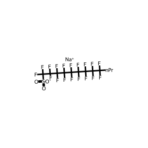 CCCC(F)(F)C(F)(F)C(F)(F)C(F)(F)C(F)(F)C(F)(F)C(F)(F)C(F)(F)C(F)(F)S(=O)(=O)[O-].[Na+]